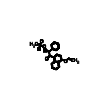 C=COc1ccc(C(=O)/C(=N/OS(C)(=O)=O)c2ccccc2)c2ccccc12